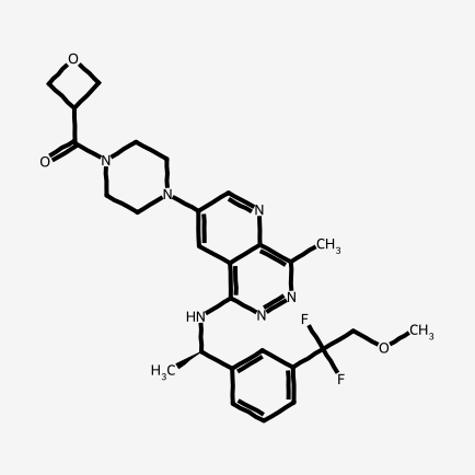 COCC(F)(F)c1cccc([C@@H](C)Nc2nnc(C)c3ncc(N4CCN(C(=O)C5COC5)CC4)cc23)c1